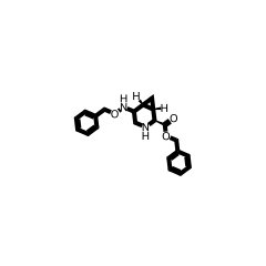 O=C(OCc1ccccc1)[C@H]1NCC(NOCc2ccccc2)[C@@H]2C[C@H]12